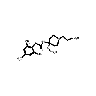 Cc1cc(C)c(CC(=O)NC2(OC(=O)O)CCN(CCC(=O)O)CC2)c(C)c1